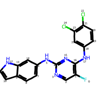 Fc1cnc(Nc2ccc3cc[nH]c3c2)nc1Nc1ccc(Cl)c(Cl)c1